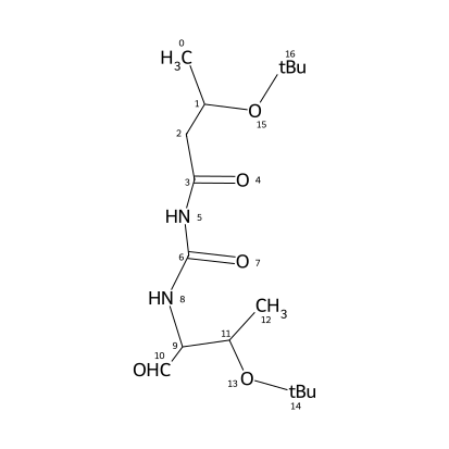 CC(CC(=O)NC(=O)NC(C=O)C(C)OC(C)(C)C)OC(C)(C)C